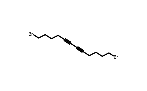 BrCCCCC#CC#CCCCCBr